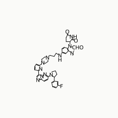 CN(C)c1cc(NCCCN2CCN(c3cccc(-c4cnc5ccc(N6CCCC6c6cccc(F)c6)nn45)n3)CC2)ccc1N(C=O)C1CCC(=O)NC1=O